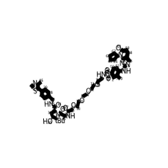 Cc1cc(S(=O)(=O)NCCOCCOCCOCCOCC(=O)N[C@H](C(=O)N2C[C@H](O)C[C@H]2C(=O)NCc2ccc(-c3scnc3C)cc2)C(C)(C)C)ccc1Nc1ncc2ccc(=O)n(C3CCCC3)c2n1